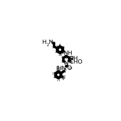 NCCc1ccc(NC2CCN(C(=O)NCc3c(F)cccc3F)CC2)cc1.O=CO